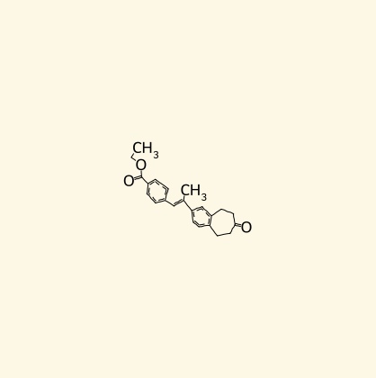 CCOC(=O)c1ccc(/C=C(\C)c2ccc3c(c2)CCC(=O)CC3)cc1